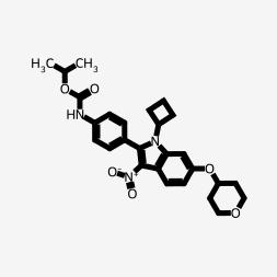 CC(C)OC(=O)Nc1ccc(-c2c([N+](=O)[O-])c3ccc(OC4CCOCC4)cc3n2C2CCC2)cc1